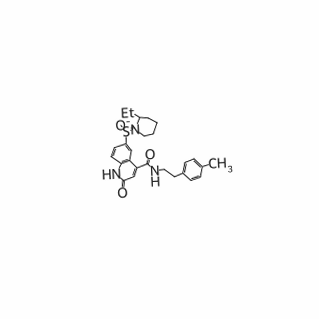 CCC1CCCCN1[S+]([O-])c1ccc2[nH]c(=O)cc(C(=O)NCCc3ccc(C)cc3)c2c1